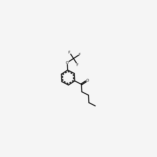 CCCCC(=O)c1cccc(OC(F)(F)F)c1